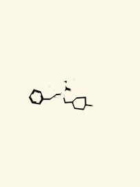 CC(C)(C)OC(=O)N(CC1CCC(C(=O)O)CC1)[C@H](C=O)Cc1ccccc1